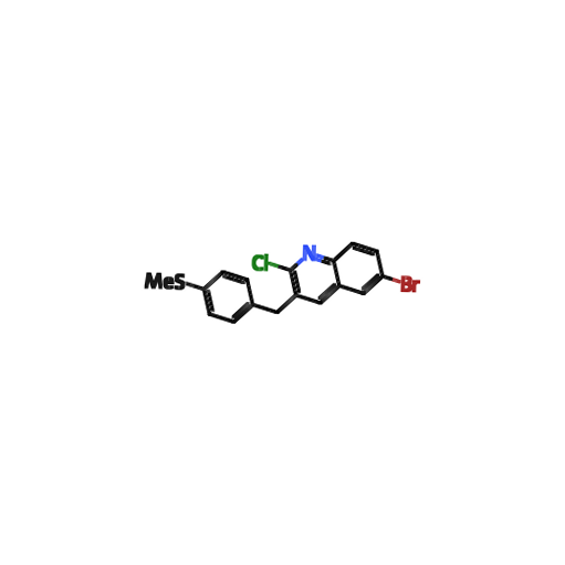 CSc1ccc(Cc2cc3cc(Br)ccc3nc2Cl)cc1